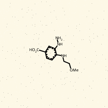 COCCNc1ccc(C(=O)O)cc1NN